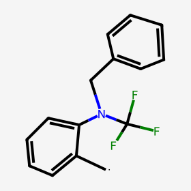 [CH2]c1ccccc1N(Cc1ccccc1)C(F)(F)F